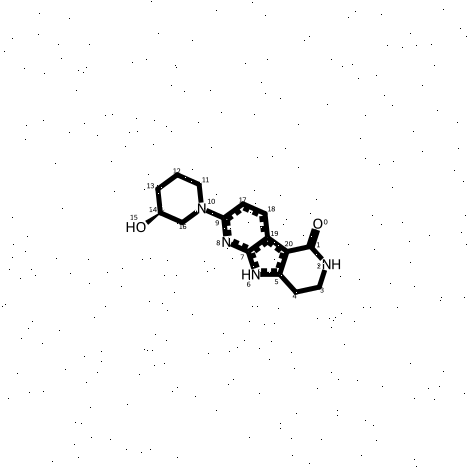 O=C1NCCc2[nH]c3nc(N4CCC[C@H](O)C4)ccc3c21